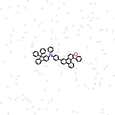 c1ccc(N(c2ccc(-c3ccc4c5ccccc5c5c(ccc6oc7ccccc7c65)c4c3)cc2)c2ccc3c(c2)C(c2ccccc2)(c2ccccc2)c2ccccc2-3)cc1